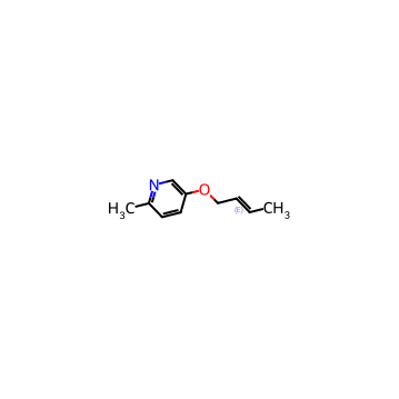 C/C=C/COc1ccc(C)nc1